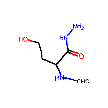 NNC(=O)C(CCO)NC=O